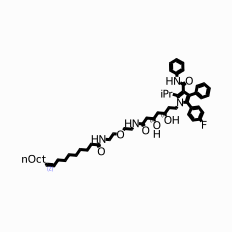 CCCCCCCC/C=C\CCCCCCCC(=O)NCCOCCNC(=O)C[C@H](O)C[C@H](O)CCn1c(-c2ccc(F)cc2)c(-c2ccccc2)c(C(=O)Nc2ccccc2)c1C(C)C